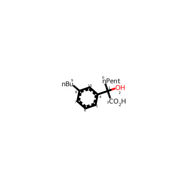 CCCCCC(O)(C(=O)O)c1cccc(CCCC)c1